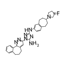 Nc1nc(Nc2ccc3c(c2)CCC(N2CC[C@H](F)C2)CC3)nn1-c1cc2c(nn1)-c1ccccc1CCC2